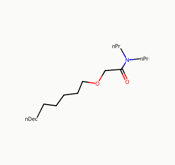 CC[CH]N(CCC)C(=O)COCCCCCCCCCCCCCCC